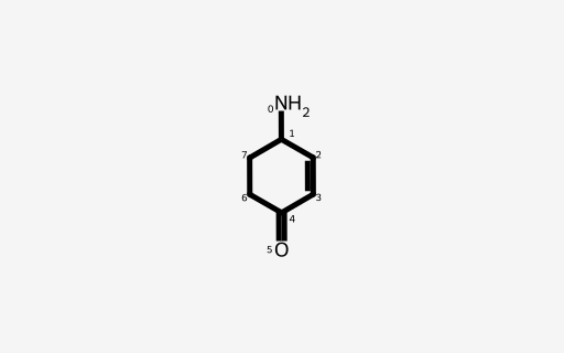 NC1C=CC(=O)CC1